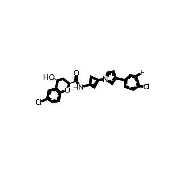 O=C(NC12CC(n3ccc(-c4ccc(Cl)c(F)c4)c3)(C1)C2)[C@@H]1C[C@@H](O)c2cc(Cl)ccc2O1